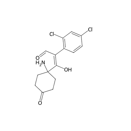 NC1(/C(O)=C(\C=O)c2ccc(Cl)cc2Cl)CCC(=O)CC1